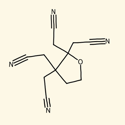 N#CCC1(CC#N)CCOC1(CC#N)CC#N